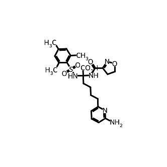 Cc1cc(C)c(S(=O)(=O)NC(CCCCc2cccc(N)n2)(NC(=O)C2=NOCC2)C(=O)O)c(C)c1